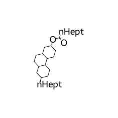 CCCCCCCC(=O)O[C@@H]1CCC2C(CCC3C[C@H](CCCCCCC)CCC32)C1